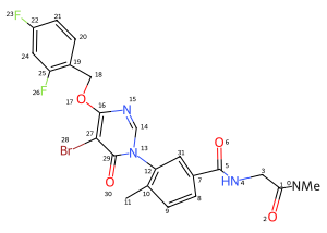 CNC(=O)CNC(=O)c1ccc(C)c(-n2cnc(OCc3ccc(F)cc3F)c(Br)c2=O)c1